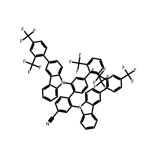 N#Cc1ccc(-c2ccc(-c3c(C(F)(F)F)cccc3C(F)(F)F)cc2-n2c3ccccc3c3cc(-c4ccc(C(F)(F)F)cc4C(F)(F)F)ccc32)c(-n2c3ccccc3c3cc(-c4ccc(C(F)(F)F)cc4C(F)(F)F)ccc32)c1